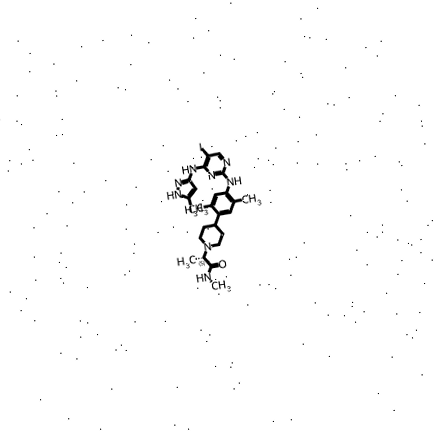 CNC(=O)[C@H](C)N1CCC(c2cc(C)c(Nc3ncc(I)c(Nc4cc(C)[nH]n4)n3)cc2C)CC1